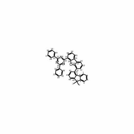 CC1(C)c2ccccc2-c2c(-c3cccc4c3oc3c(-c5nc(-c6ccccc6)nc(-c6ccccc6)n5)cccc34)cccc21